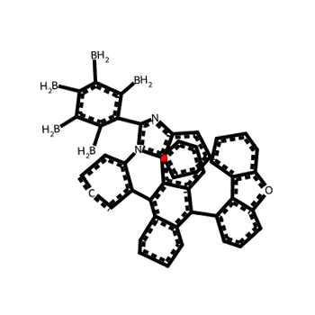 Bc1c(B)c(B)c(-c2nc3ccccc3n2-c2ccccc2-c2c3ccccc3c(-c3cccc4oc5ccccc5c34)c3ccccc23)c(B)c1B